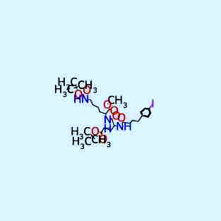 COC(=O)C(CCCCNC(=O)OC(C)(C)C)NC(=O)C(CCC(=O)OC(C)(C)C)NC(=O)CCCc1ccc(I)cc1